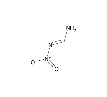 NC=N[N+](=O)[O-]